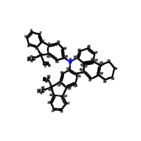 CC1(C)c2ccccc2-c2ccc(N(c3ccccc3)c3cc4c(cc3-c3ccc5c(c3)CCCC5)-c3ccccc3C4(C)C)cc21